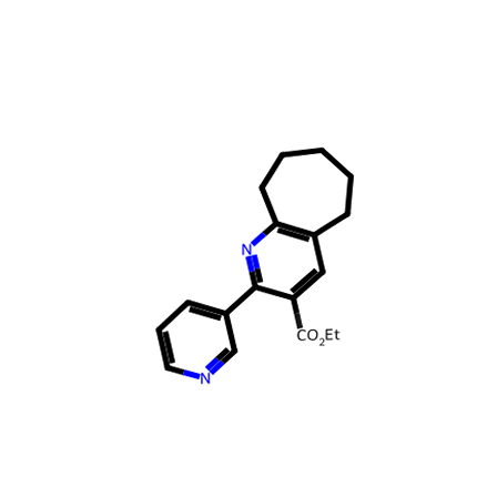 CCOC(=O)c1cc2c(nc1-c1cccnc1)CCCCC2